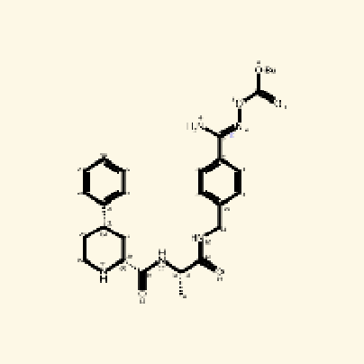 CC(C)COC(=O)O/N=C(\N)c1ccc(CNC(=O)[C@H](C)NC(=O)[C@H]2C[C@@H](c3ccccc3)CCN2)cc1